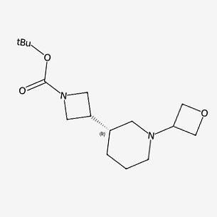 CC(C)(C)OC(=O)N1CC([C@H]2CCCN(C3COC3)C2)C1